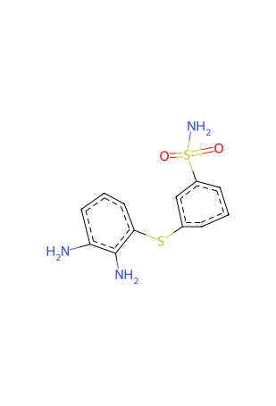 Nc1cccc(Sc2cccc(S(N)(=O)=O)c2)c1N